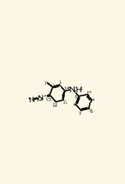 CC1=CC(Nc2ccccc2)=CCC1=[N+]=[N-]